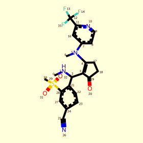 CNC(C1=C(N(C)c2ccnc(C(F)(F)F)c2)CCC1=O)c1ccc(C#N)cc1S(C)(=O)=O